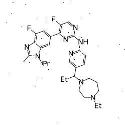 CCC(c1ccc(Nc2ncc(F)c(-c3cc(F)c4nc(C)n(C(C)C)c4c3)n2)nc1)N1CCCN(CC)CC1